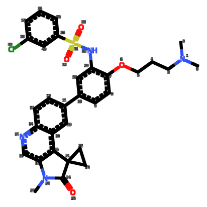 CN(C)CCCOc1ccc(-c2ccc3ncc4c(c3c2)C2(CC2)C(=O)N4C)cc1NS(=O)(=O)c1cccc(Cl)c1